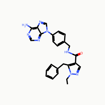 CCn1ncc(C(=O)NCc2ccc(-n3cnc4c(N)ncnc43)cc2)c1Cc1ccccc1